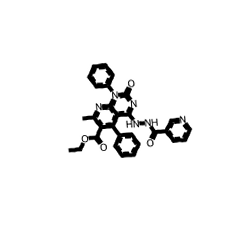 CCOC(=O)c1c(C)nc2c(c(NNC(=O)c3cccnc3)nc(=O)n2-c2ccccc2)c1-c1ccccc1